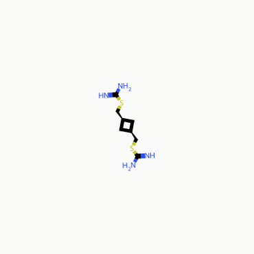 N=C(N)SC[C@H]1C[C@@H](CSC(=N)N)C1